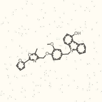 COc1cc(Cn2c3ccccc3c3c(O)cccc32)ccc1OCc1nc(-c2ccco2)oc1C